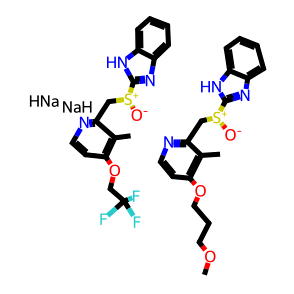 COCCCOc1ccnc(C[S+]([O-])c2nc3ccccc3[nH]2)c1C.Cc1c(OCC(F)(F)F)ccnc1C[S+]([O-])c1nc2ccccc2[nH]1.[NaH].[NaH]